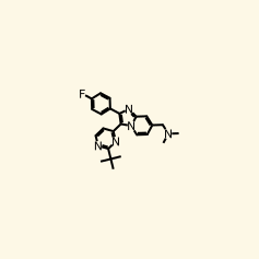 CN(C)Cc1ccn2c(-c3ccnc(C(C)(C)C)n3)c(-c3ccc(F)cc3)nc2c1